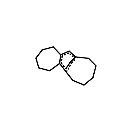 [c]1c2[c]c3c(c1CCCCC2)CCCCC3